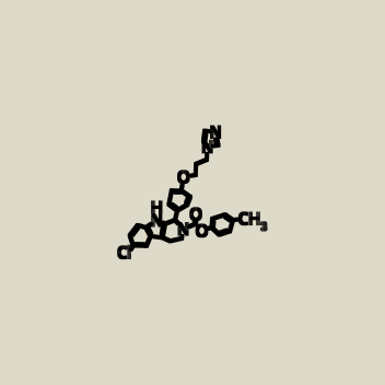 Cc1ccc(OC(=O)N2CCc3c([nH]c4ccc(Cl)cc34)C2c2ccc(OCCCn3ccnc3)cc2)cc1